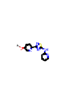 CC(C)Oc1ccc(-c2nsc(Nc3ccccn3)n2)nc1